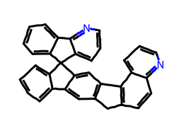 c1ccc2c(c1)-c1cc3c(cc1C21c2ccccc2-c2ncccc21)-c1c(ccc2ncccc12)C3